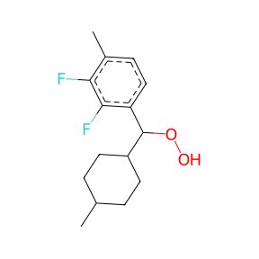 Cc1ccc(C(OO)C2CCC(C)CC2)c(F)c1F